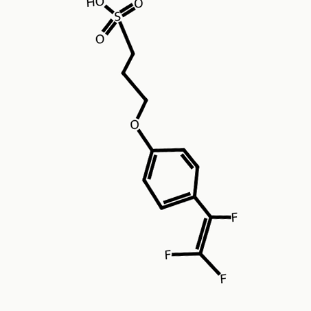 O=S(=O)(O)CCCOc1ccc(C(F)=C(F)F)cc1